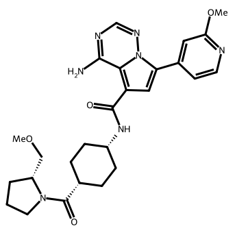 COC[C@H]1CCCN1C(=O)[C@H]1CC[C@@H](NC(=O)c2cc(-c3ccnc(OC)c3)n3ncnc(N)c23)CC1